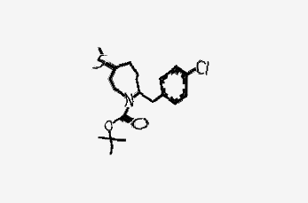 CSC1CCC(Cc2ccc(Cl)cc2)N(C(=O)OC(C)(C)C)C1